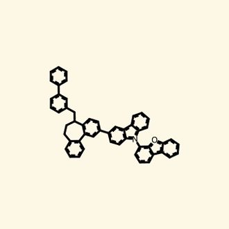 c1ccc(-c2cccc(CC3CCc4ccccc4-c4cc(-c5ccc6c(c5)c5ccccc5n6-c5cccc6c5oc5ccccc56)ccc43)c2)cc1